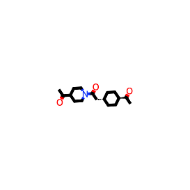 CC(=O)C1CCN(C(=O)C[C@H]2CC[C@H](C(C)=O)CC2)CC1